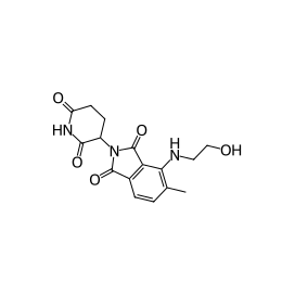 Cc1ccc2c(c1NCCO)C(=O)N(C1CCC(=O)NC1=O)C2=O